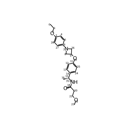 CCOc1ccc(N2CC(Oc3ccc([C@H](C)NC(=O)CCOC)cc3)C2)cc1